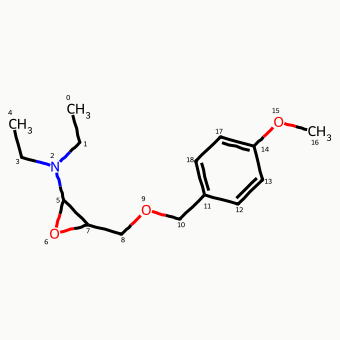 CCN(CC)C1OC1COCc1ccc(OC)cc1